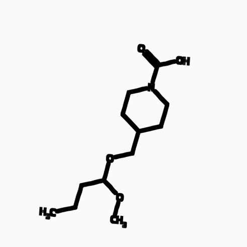 CCCC(OC)OCC1CCN(C(=O)O)CC1